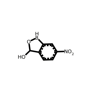 O=[N+]([O-])c1ccc2c(c1)BOC2O